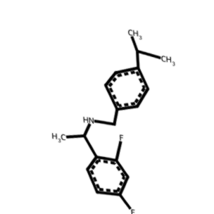 CC(C)c1ccc(CNC(C)c2ccc(F)cc2F)cc1